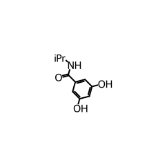 CC(C)NC(=O)c1cc(O)cc(O)c1